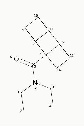 CCN(CC)C(=O)C12C3C4C5C3C1C5C42